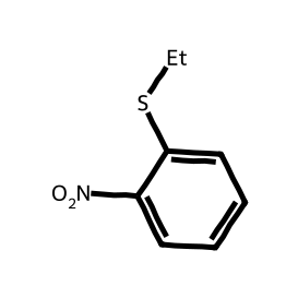 [CH2]CSc1ccccc1[N+](=O)[O-]